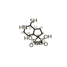 O=P(O)(O)C1(P(=O)(O)O)CCC2C(S)NCCC21